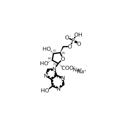 O=C([O-])[C@@]1(n2cnc3c(O)ncnc32)O[C@H](COP(=O)([O-])O)[C@@H](O)[C@H]1O.[Na+].[Na+]